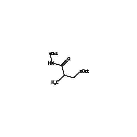 CCCCCCCCCC(C)C(=O)NCCCCCCCC